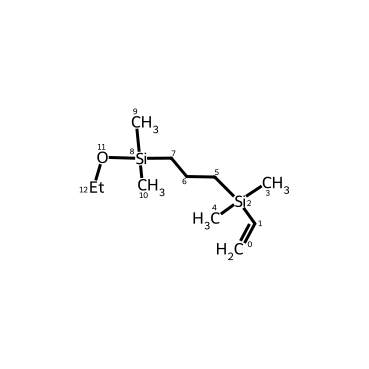 C=C[Si](C)(C)CCC[Si](C)(C)OCC